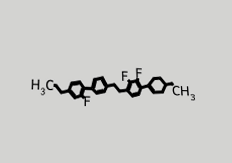 CCCc1ccc(-c2ccc(CCc3ccc(C4=CCC(CC)CC4)c(F)c3F)cc2)c(F)c1